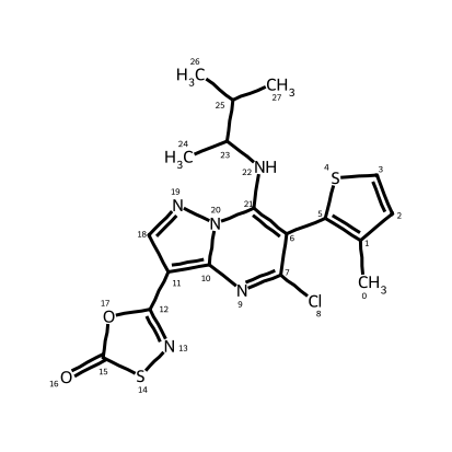 Cc1ccsc1-c1c(Cl)nc2c(-c3nsc(=O)o3)cnn2c1NC(C)C(C)C